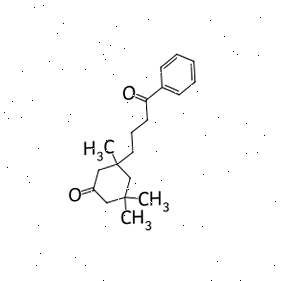 CC1(C)CC(=O)CC(C)(CCCC(=O)c2ccccc2)C1